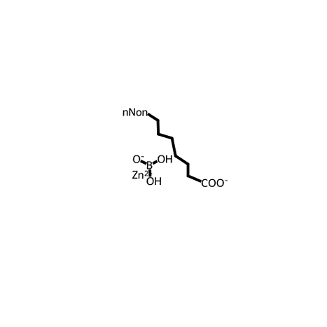 CCCCCCCCCCCCCCCC(=O)[O-].[O-]B(O)O.[Zn+2]